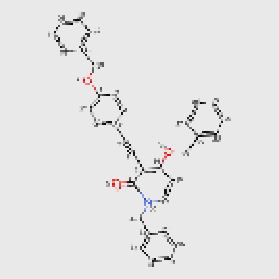 O=c1c(C#Cc2ccc(OCc3ccccc3)cc2)c(OCc2ccccc2)ccn1Cc1ccccc1